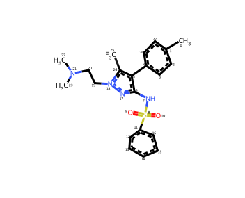 Cc1ccc(-c2c(NS(=O)(=O)c3ccccc3)nn(CCN(C)C)c2C(F)(F)F)cc1